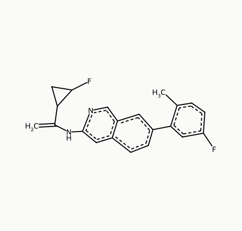 C=C(Nc1cc2ccc(-c3cc(F)ccc3C)cc2cn1)C1CC1F